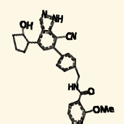 COc1ccccc1C(=O)NCc1ccc(-c2cc(C3CCCC3O)c3cn[nH]c3c2C#N)cc1